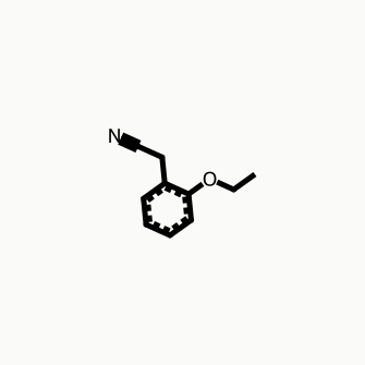 CCOc1ccccc1CC#N